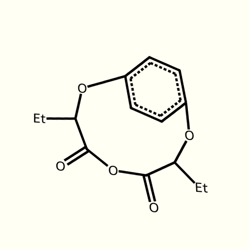 CCC1Oc2ccc(cc2)OC(CC)C(=O)OC1=O